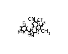 Cc1c(F)c2c(C(F)(F)F)c(C#N)ccc2n1Cc1noc(-c2cc(F)cc(F)c2)n1